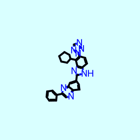 c1ccc(-c2cnc3ccc(-c4nc5c(C6CCCCC6)c(-n6ncnn6)ccc5[nH]4)cc3n2)cc1